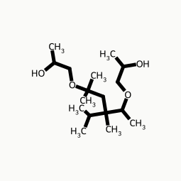 CC(O)COC(C)C(C)(CC(C)(C)OCC(C)O)C(C)C